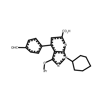 CC(C)Oc1nn(C2CCCCC2)c2nc(C(=O)O)cc(-c3ccc(C=O)cc3)c12